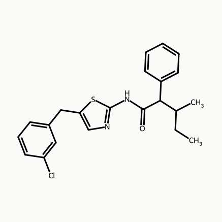 CCC(C)C(C(=O)Nc1ncc(Cc2cccc(Cl)c2)s1)c1ccccc1